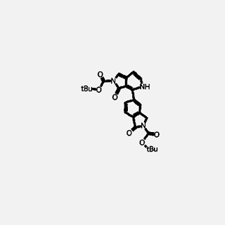 CC(C)(C)OC(=O)N1Cc2cc(-c3[nH]ccc4cn(C(=O)OC(C)(C)C)c(=O)c3-4)ccc2C1=O